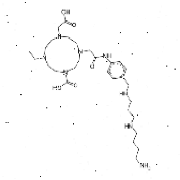 CCN1CCN(CC(=O)O)CCN(CC(=O)Nc2ccc(CNCCCNCCCCN)cc2)CCN(C(=O)O)CC1